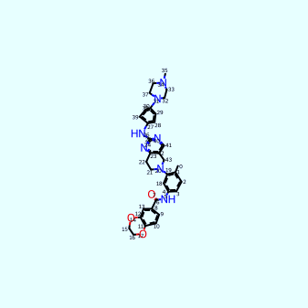 Cc1ccc(NC(=O)c2ccc3c(c2)OCCO3)cc1N1CCc2nc(Nc3ccc(N4CCN(C)CC4)cc3)ncc2C1